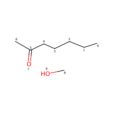 CCCCCC(C)=O.CO